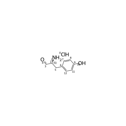 Cl.N[C@H](C=O)Cc1ccc(O)cc1